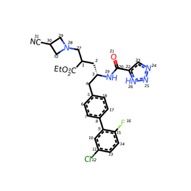 CCOC(=O)C(C[C@@H](Cc1ccc(-c2cc(Cl)ccc2F)cc1)NC(=O)c1cnn[nH]1)CN1CC(C#N)C1